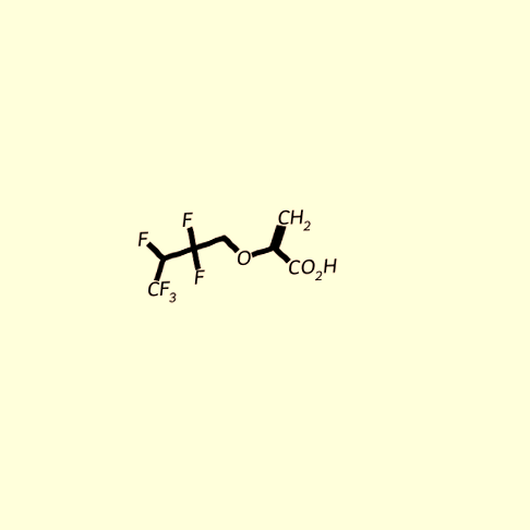 C=C(OCC(F)(F)C(F)C(F)(F)F)C(=O)O